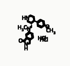 COc1ccc([C@@H]2CCNC[C@H]2CN(C)c2ccc3c(c2)C(=O)NC3)cc1.Cl.Cl